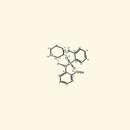 COc1ccccc1N(C[C@H]1CCCCO1)S(=O)(=O)c1ccccc1[N+](=O)[O-]